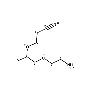 CC(COCCN)OCCC#N